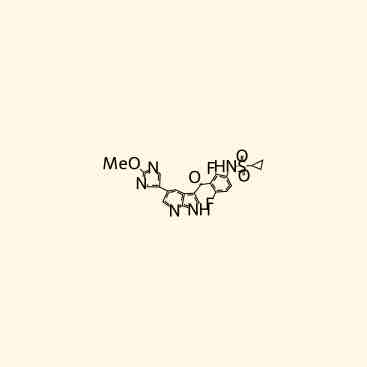 COc1ncc(-c2cnc3[nH]cc(C(=O)c4c(F)ccc(NS(=O)(=O)C5CC5)c4F)c3c2)cn1